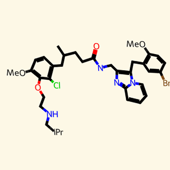 COc1ccc(Br)cc1Cc1c(C[N]C(=O)CCC(C)Cc2ccc(OC)c(OCCNCC(C)C)c2Cl)nc2ccccn12